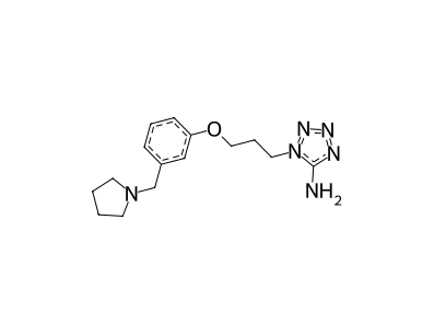 Nc1nnnn1CCCOc1cccc(CN2CCCC2)c1